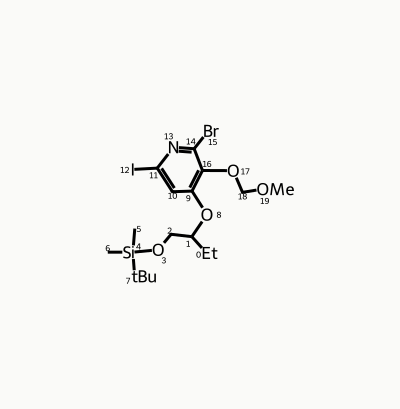 CCC(CO[Si](C)(C)C(C)(C)C)Oc1cc(I)nc(Br)c1OCOC